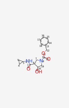 O=C(NC1CC1)C1CN(C(=O)OCc2ccccc2)C[C@H]1O